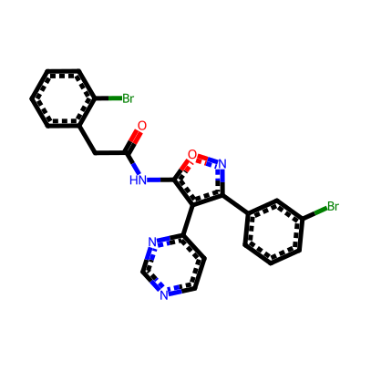 O=C(Cc1ccccc1Br)Nc1onc(-c2cccc(Br)c2)c1-c1ccncn1